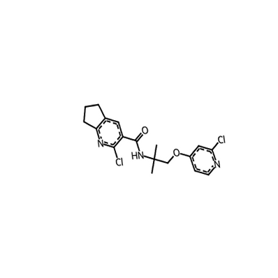 CC(C)(COc1ccnc(Cl)c1)NC(=O)c1cc2c(nc1Cl)CCC2